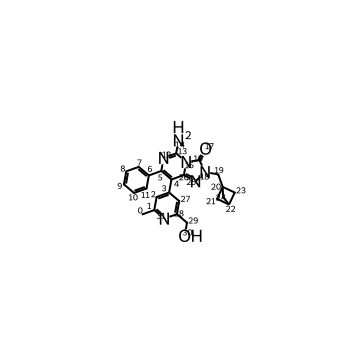 Cc1cc(-c2c(-c3ccccc3)nc(N)n3c(=O)n(CC45CC(C4)C5)nc23)cc(CO)n1